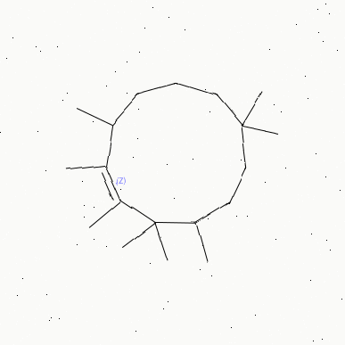 C/C1=C(\C)C(C)(C)C(C)CCC(C)(C)CCCC1C